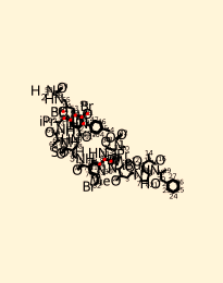 CCC(C)C(C(CC(=O)N1CCCC1C(OC)C(C)C(=O)NC(C)C(O)c1ccccc1)OC)N(C)C(=O)C(NC(=O)C(C(C)C)N(C)C(=O)OCc1ccc(NC(=O)C(CCCNC(N)=O)NC(=O)C(NC(=O)C(CS(=O)(=O)O)NC(=O)C(CNC(=O)c2cc(CBr)nc(CBr)c2)CNC(=O)c2cc(CBr)nc(CBr)c2)C(C)C)cc1)C(C)C